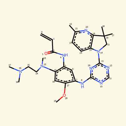 C=CC(=O)Nc1cc(Nc2ncnc(N3CC(C)(C)c4nc(C)ccc43)n2)c(OC)cc1N(C)CCN(C)C